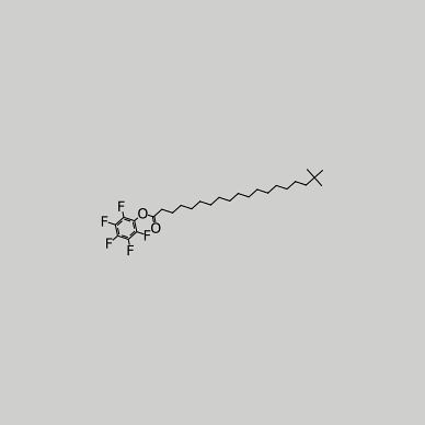 CC(C)(C)CCCCCCCCCCCCCCCCC(=O)Oc1c(F)c(F)c(F)c(F)c1F